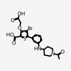 CC(=O)N1CCC(Nc2cccc(-c3sc(C(=O)O)c(OCC(=O)O)c3Br)c2)CC1